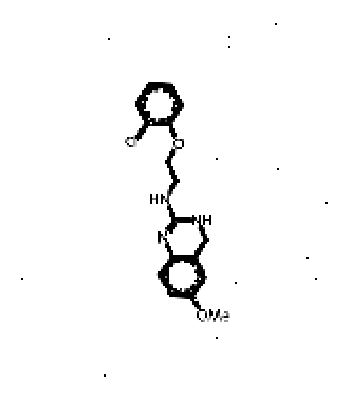 COc1ccc2c(c1)CNC(NCCOc1ccccc1Cl)=N2